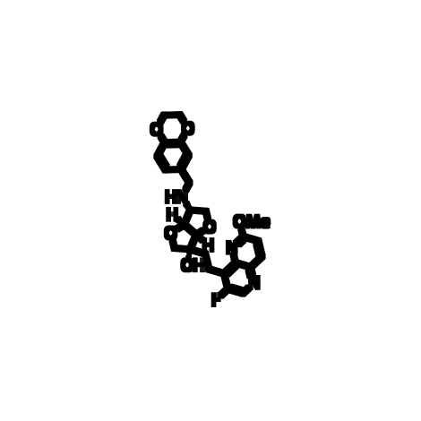 COc1ccc2ncc(F)c(CC[C@@]3(O)CO[C@@H]4[C@@H](NCc5ccc6c(c5)OCCO6)CO[C@@H]43)c2n1